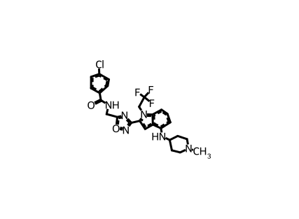 CN1CCC(Nc2cccc3c2cc(-c2noc(CNC(=O)c4ccc(Cl)cc4)n2)n3CC(F)(F)F)CC1